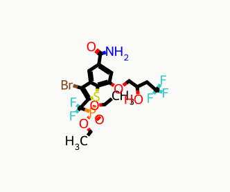 CCOP(=O)(OCC)C(F)(F)c1sc2c(OCC(O)CC(F)(F)F)cc(C(N)=O)cc2c1Br